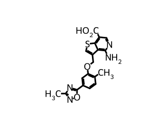 Cc1noc(-c2ccc(C)c(OCc3csc4c(C(=O)O)cnc(N)c34)c2)n1